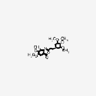 COc1cc2nc(C=Cc3cc(OC)c(OC)c(OC)c3)oc(=O)c2cc1OC